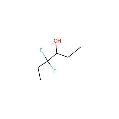 CCC(O)C(F)(F)CC